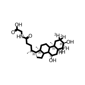 [2H]C1([2H])C[C@]2(C)C3CC[C@@]4(C)C(CC[C@@H]4[C@H](C)CCC(=O)NCC(=O)O)C3[C@@H](O)C[C@@H]2C([2H])([2H])[C@@H]1O